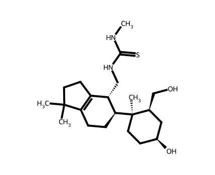 CNC(=S)NC[C@H]1C2=C(CC[C@@H]1[C@]1(C)CC[C@H](O)C[C@@H]1CO)C(C)(C)CC2